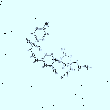 BOC[C@]1(N=[N+]=[N-])CC(F)[C@H](n2ccc(N=BCS(=O)(=O)c3ccc(Br)cc3)nc2=O)O1